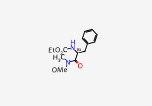 CCOC(=O)N[C@@H](Cc1ccccc1)C(=O)N(C)OC